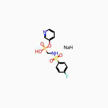 O=P(O)(CNS(=O)(=O)c1ccc(F)cc1)Oc1cccnc1.[NaH]